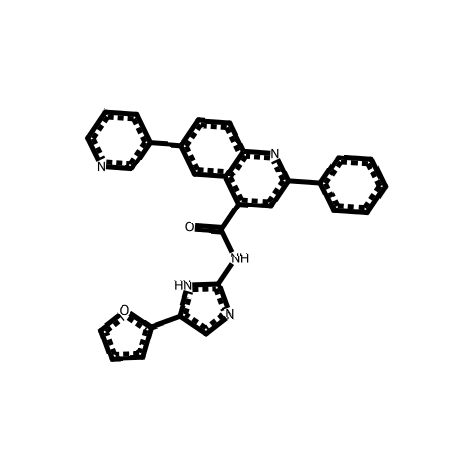 O=C(Nc1ncc(-c2ccco2)[nH]1)c1cc(-c2ccccc2)nc2ccc(-c3cccnc3)cc12